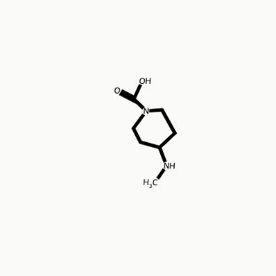 CNC1CCN(C(=O)O)CC1